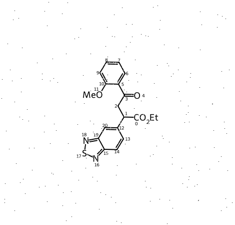 CCOC(=O)C(CC(=O)c1ccccc1OC)c1ccc2nsnc2c1